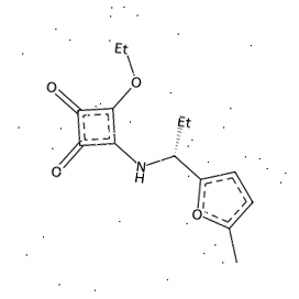 CCOc1c(N[C@H](CC)c2ccc(C)o2)c(=O)c1=O